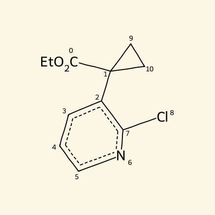 CCOC(=O)C1(c2cccnc2Cl)CC1